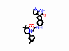 Cc1cccc(C2CCC(C)(C)C(=O)N2CC(=O)Nc2ccc3c(c2)CC2(C3)C(=O)Nc3ncccc32)c1